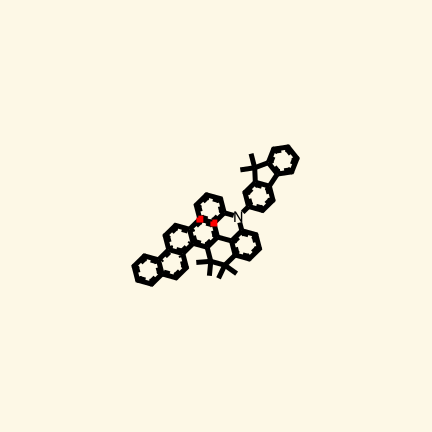 CC1(C)c2ccccc2-c2ccc(N(c3ccccc3)c3cccc4c3-c3ccc5ccc6c7ccccc7ccc6c5c3C(C)(C)C4(C)C)cc21